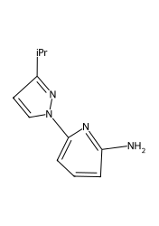 CC(C)c1ccn(-c2cccc(N)n2)n1